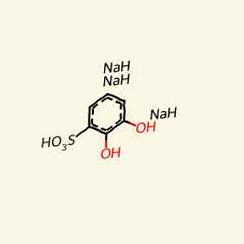 O=S(=O)(O)c1cccc(O)c1O.[NaH].[NaH].[NaH]